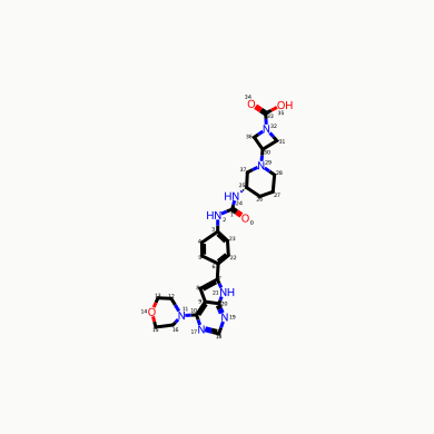 O=C(Nc1ccc(-c2cc3c(N4CCOCC4)ncnc3[nH]2)cc1)N[C@H]1CCCN(C2CN(C(=O)O)C2)C1